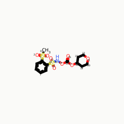 CS(=O)(=O)c1ccccc1S(=O)(=O)NOC(=O)OC1CCOCC1